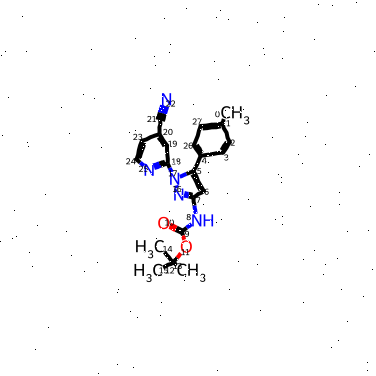 Cc1ccc(-c2cc(NC(=O)OC(C)(C)C)nn2-c2cc(C#N)ccn2)cc1